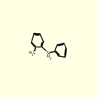 Cc1ccccc1[SiH2]c1ccccc1